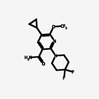 NC(=O)c1cc(C2CC2)c(OC(F)(F)F)nc1N1CCC(F)(F)CC1